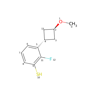 CO[C@H]1C[C@H](c2cccc(S)c2F)C1